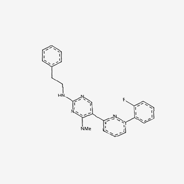 CNc1nc(NCCc2ccccc2)ncc1-c1cccc(-c2ccccc2F)n1